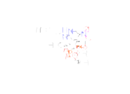 CCCCNc1ncc([N+](=O)[O-])cc1CC(P(C)(C)=O)P(=O)(OCC)OCC